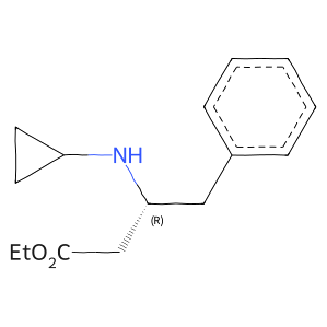 CCOC(=O)C[C@@H](Cc1ccccc1)NC1CC1